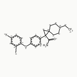 NC(=O)C1(c2ccc(Oc3ccc(F)cc3F)cn2)CC12CCN(CC(F)(F)F)CC2